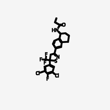 CCC(=O)NC1CCCc2cc(C3=NSC(c4cc(Cl)c(F)c(Cl)c4)(C(F)(F)F)C3)ccc21